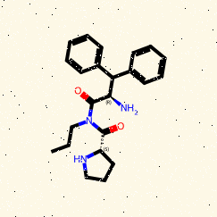 CCCN(C(=O)[C@@H]1CCCN1)C(=O)[C@H](N)C(c1ccccc1)c1ccccc1